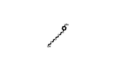 CCCCc1ccc(OCCOCCOCCOCCO)cc1